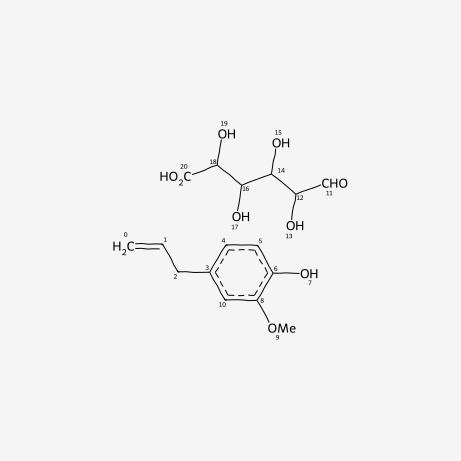 C=CCc1ccc(O)c(OC)c1.O=CC(O)C(O)C(O)C(O)C(=O)O